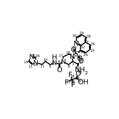 NC(=O)C1CN(C(=O)NCCCn2ccnc2)CCN1S(=O)(=O)c1cccc2cccnc12.O=C(O)C(F)(F)F